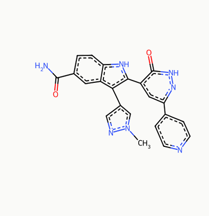 Cn1cc(-c2c(-c3cc(-c4ccncc4)n[nH]c3=O)[nH]c3ccc(C(N)=O)cc23)cn1